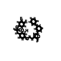 Cc1oc(-c2cccc(-c3ccccc3)c2)nc1CCOc1ccc(CC(C)(Oc2ccc(F)c(F)c2)C(=O)O)cc1